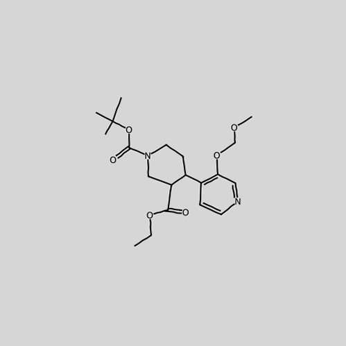 CCOC(=O)C1CN(C(=O)OC(C)(C)C)CCC1c1ccncc1OCOC